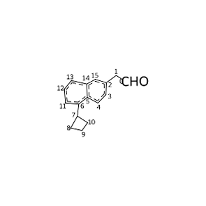 O=CCc1ccc2c(C3CCC3)cccc2c1